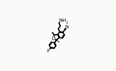 CC1O[C@@](C)(c2ccc(F)cc2)c2ccc(C#N)c(CCCN)c21